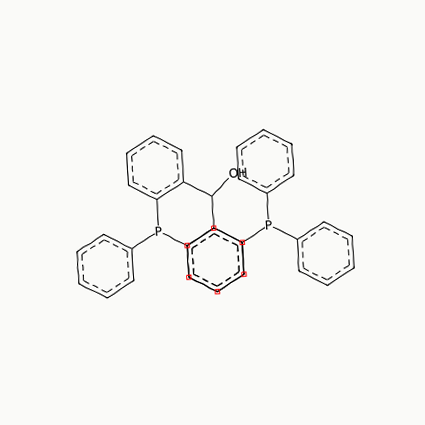 OC(c1ccccc1P(c1ccccc1)c1ccccc1)c1ccccc1P(c1ccccc1)c1ccccc1